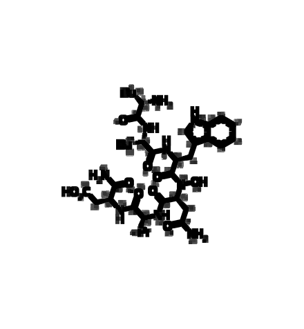 CC[C@H](C)[C@H](N)C(=O)N[C@H](C(=O)N[C@@H](Cc1c[nH]c2ccccc12)C(=O)N(O)[C@@H](CC(N)=O)C(=O)N[C@H](C(=O)N[C@@H](CC(=O)O)C(N)=O)C(C)C)[C@@H](C)CC